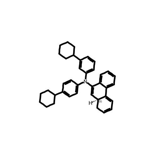 C1=CC[C@H]2C=C(N(c3ccc(C4CCCCC4)cc3)c3cccc(C4CCCCC4)c3)c3ccccc3C2=C1